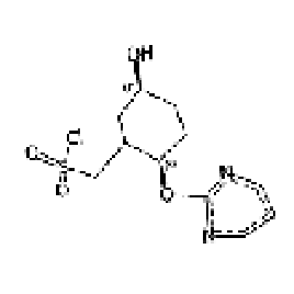 O=S(=O)(Cl)CC1C[C@@H](O)CC[C@H]1Oc1ncccn1